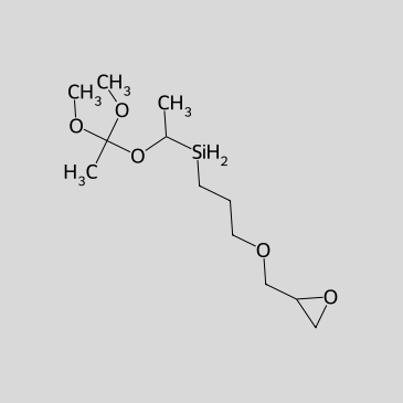 COC(C)(OC)OC(C)[SiH2]CCCOCC1CO1